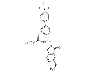 COc1ccc2c(c1)C(=O)N(C[C@H](NC(=O)NC=O)c1ccc(-c3ccc(C(F)(F)F)nc3)cc1)C2